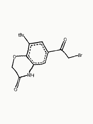 CC(C)(C)c1cc(C(=O)CBr)cc2c1OCC(=O)N2